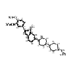 CCn1c(-c2ccc(OC)c(OC)c2)nc2ccc(C3CCN(C4CCN(CC(C)C)CC4)CC3)cc21